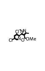 COC(=O)c1c(C)nn(C)c1-c1ncc(Cl)cc1Cl